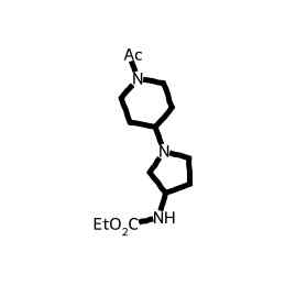 CCOC(=O)NC1CCN(C2CCN(C(C)=O)CC2)C1